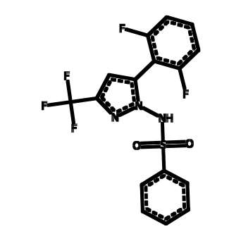 O=S(=O)(Nn1nc(C(F)(F)F)cc1-c1c(F)cccc1F)c1ccccc1